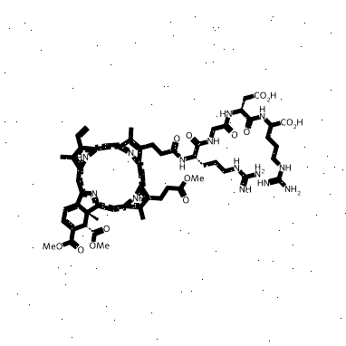 C=Cc1c(C)c2cc3nc(cc4[nH]c(cc5nc(cc1[nH]2)C(C)=C5CCC(=O)N[C@@H](CCCNC(=N)N)C(=O)NCC(=O)N[C@@H](CC(=O)O)C(=O)NC(CCCNC(=N)N)C(=O)O)c(CCC(=O)OC)c4C)[C@@]1(C)C3=CC=C(C(=O)OC)[C@H]1C(=O)OC